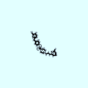 Cc1cccc(CCCN2CCN(C(=O)Oc3ccc(Cc4cccc(C)n4)cc3)CC2)n1